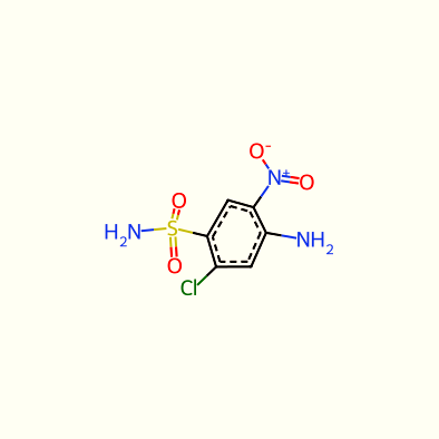 Nc1cc(Cl)c(S(N)(=O)=O)cc1[N+](=O)[O-]